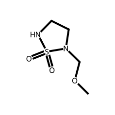 COCN1CCNS1(=O)=O